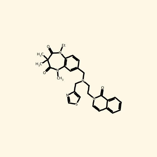 CCN1C(=O)C(C)(C)C(=O)N(C)c2cc(CN(CCn3ccc4ccccc4c3=O)Cc3cscn3)ccc21